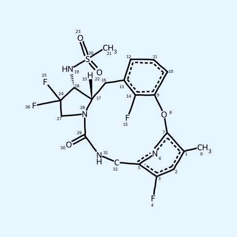 Cc1cc(F)c2nc1Oc1cccc(c1F)C[C@H]1[C@@H](NS(C)(=O)=O)C(F)(F)CN1C(=O)NC2